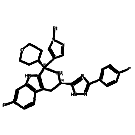 CCn1cc([C@]2(C3CCOCC3)N[C@@H](c3nc(-c4ccc(F)cc4)n[nH]3)Cc3c2[nH]c2cc(F)ccc32)cn1